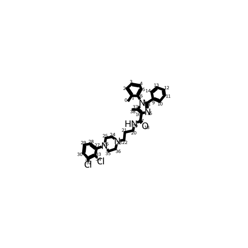 Cc1ccccc1-n1c(-c2ccccc2)nc(C(=O)NCCCN2CCN(c3cccc(Cl)c3Cl)CC2)c1C